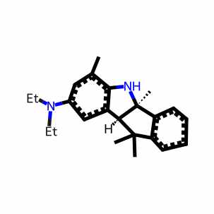 CCN(CC)c1cc(C)c2c(c1)[C@@H]1C(C)(C)c3ccccc3[C@]1(C)N2